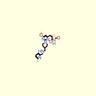 COc1cc(/C=C2/SC(=O)NC2=O)nc(N2CCC(CNCc3cccc(F)n3)CC2)n1